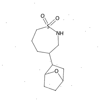 O=S1(=O)CCCC(C2CC3CCC2O3)CN1